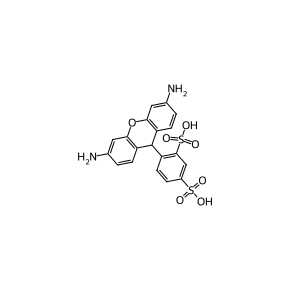 Nc1ccc2c(c1)Oc1cc(N)ccc1C2c1ccc(S(=O)(=O)O)cc1S(=O)(=O)O